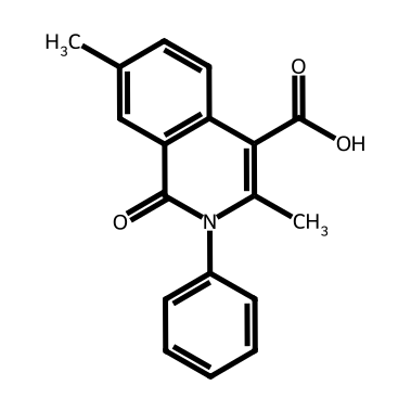 Cc1ccc2c(C(=O)O)c(C)n(-c3ccccc3)c(=O)c2c1